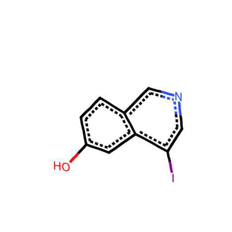 Oc1ccc2cncc(I)c2c1